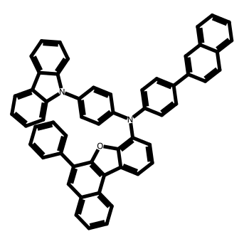 c1ccc(-c2cc3ccccc3c3c2oc2c(N(c4ccc(-c5ccc6ccccc6c5)cc4)c4ccc(-n5c6ccccc6c6ccccc65)cc4)cccc23)cc1